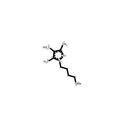 COCCCCn1nc(C)c(C(=O)O)c1C